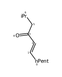 CCCCCC=CC(=O)CC(C)C